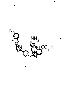 CCn1cncc1Cn1c(CN2CCC(c3ccn(OCc4ccc(C#N)cc4F)n3)CC2)nc2ccc(C(=O)O)cc21.N